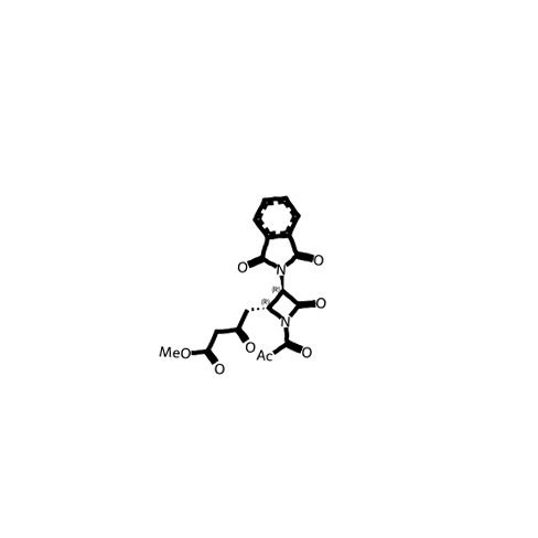 COC(=O)CC(=O)C[C@@H]1[C@@H](N2C(=O)c3ccccc3C2=O)C(=O)N1C(=O)C(C)=O